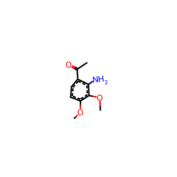 COc1ccc(C(C)=O)c(N)c1OC